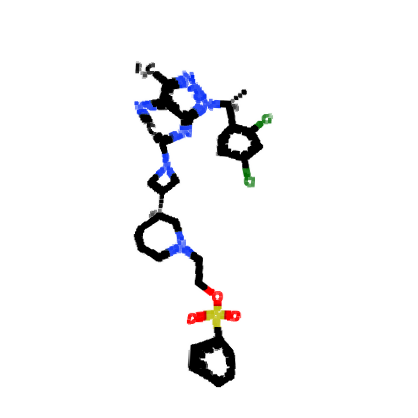 C[C@H](c1ccc(Cl)cc1Cl)n1nc(C(F)(F)F)c2ncc(N3CC([C@H]4CCCN(CCOS(=O)(=O)c5ccccc5)C4)C3)nc21